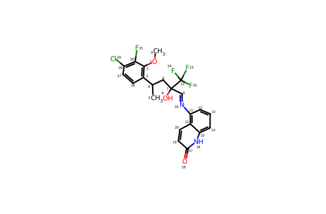 COc1c(C(C)CC(O)(C=Nc2cccc3[nH]c(=O)ccc23)C(F)(F)F)ccc(Cl)c1F